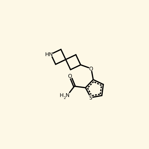 NC(=O)c1sccc1OC1CC2(CNC2)C1